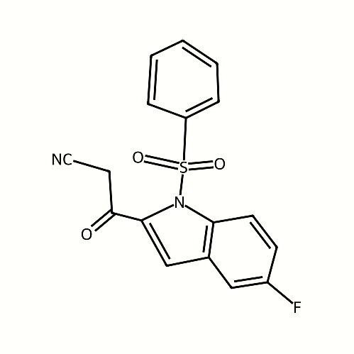 N#CCC(=O)c1cc2cc(F)ccc2n1S(=O)(=O)c1ccccc1